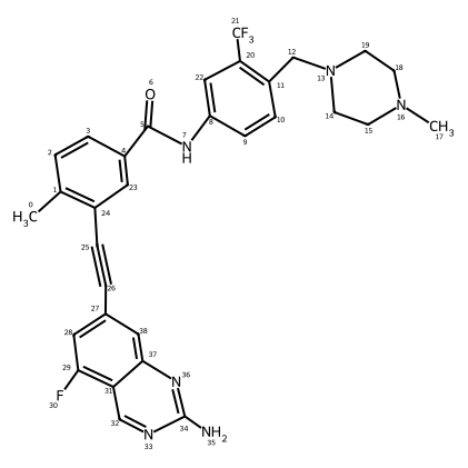 Cc1ccc(C(=O)Nc2ccc(CN3CCN(C)CC3)c(C(F)(F)F)c2)cc1C#Cc1cc(F)c2cnc(N)nc2c1